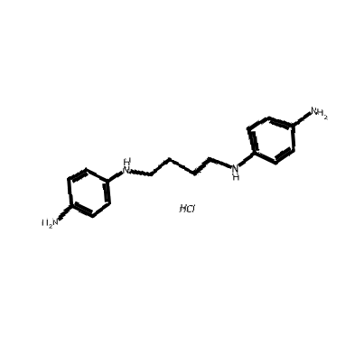 Cl.Nc1ccc(NCCCCNc2ccc(N)cc2)cc1